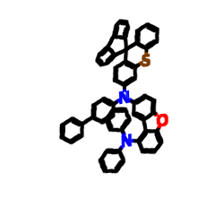 c1ccc(-c2ccc(N(c3ccc4c(c3)Sc3ccccc3C43c4ccccc4-c4ccccc43)c3ccc4oc5cccc(N(c6ccccc6)c6ccccc6)c5c4c3)cc2)cc1